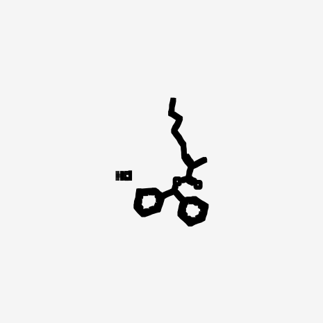 CCCCCC=C(C)C(=O)OC(c1ccccc1)c1ccccc1.Cl